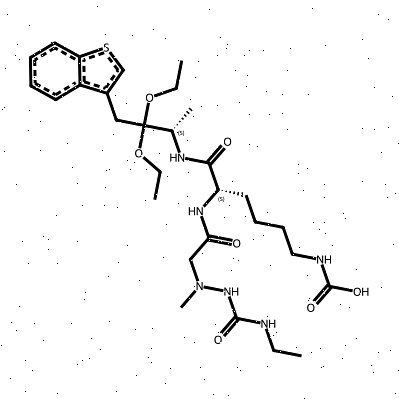 CCNC(=O)NN(C)CC(=O)N[C@@H](CCCCNC(=O)O)C(=O)N[C@@H](C)C(Cc1csc2ccccc12)(OCC)OCC